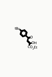 CCOC(=O)C(O)=CC(=O)c1ccc(C(C)(C)C)cc1